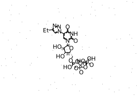 CCc1cn(-c2cn([C@@H]3O[C@H](COP(=O)(O)OP(=O)(O)OP(=O)(O)O)C(O)[C@@H]3O)c(=O)[nH]c2=O)nn1